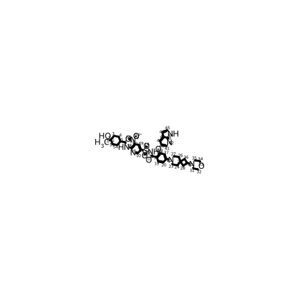 CC1(O)CCC(CNc2ncc(S(=O)(=O)NC(=O)c3ccc(N4CCC5(CC4)CC(N4CCOCC4)C5)cc3Oc3cnc4[nH]ccc4c3)cc2[N+](=O)[O-])CC1